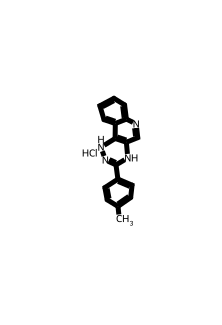 Cc1ccc(C2=NNc3c(cnc4ccccc34)N2)cc1.Cl